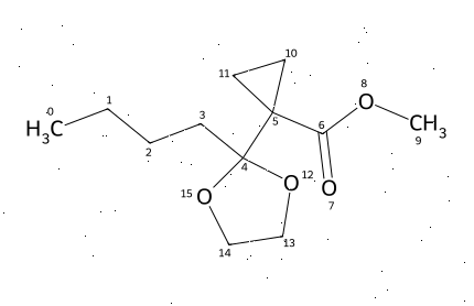 CCCCC1(C2(C(=O)OC)CC2)OCCO1